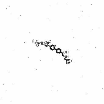 CC(=O)NC[C@H]1CN(c2ccc(-c3ccc([C@@H](O)CNCc4cocn4)cc3)c(F)c2)C(=O)O1